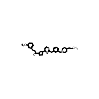 CCCC1CCN(Cc2cccc(Cc3nccc(C4=CC=C(C(=O)CCc5cccc(C)c5)C4)n3)c2)CC1